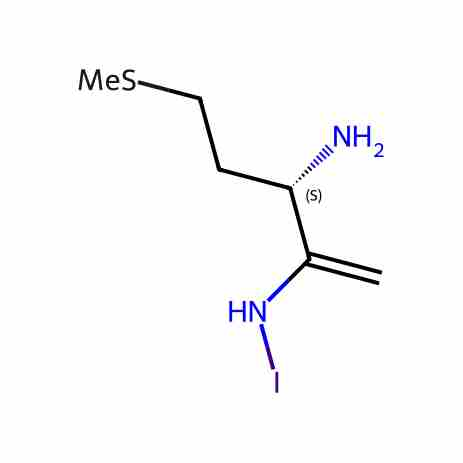 C=C(NI)[C@@H](N)CCSC